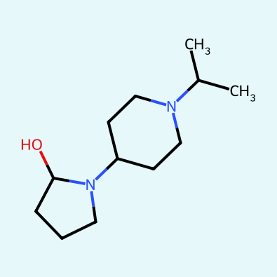 CC(C)N1CCC(N2CCCC2O)CC1